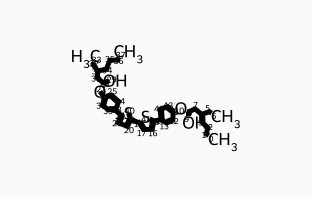 CCCCC(CC)CC(O)Oc1ccc(-c2ccc(-c3ccc(-c4ccc(OC(O)CC(CC)CCCC)cc4)s3)s2)cc1